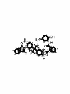 Cc1ccc(O)c(NC(=O)C2C3C=CC(C3)C2C(=O)Nc2cc(C(c3ccc(O)c(N4C(=O)C5C6C=CC(C6)C5C4=O)c3)(C(F)(F)F)C(F)(F)F)ccc2O)c1